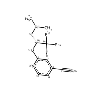 CN(C)C[C@@H](Oc1cc(C#N)ccn1)C(F)(F)F